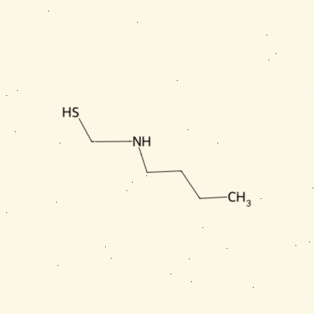 CCCCNCS